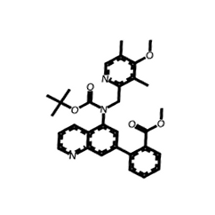 COC(=O)c1ccccc1-c1cc(N(Cc2ncc(C)c(OC)c2C)C(=O)OC(C)(C)C)c2cccnc2c1